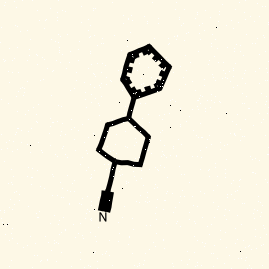 N#C[C]1CCC(c2ccccc2)CC1